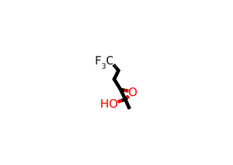 CC1(O)OC1CCC(F)(F)F